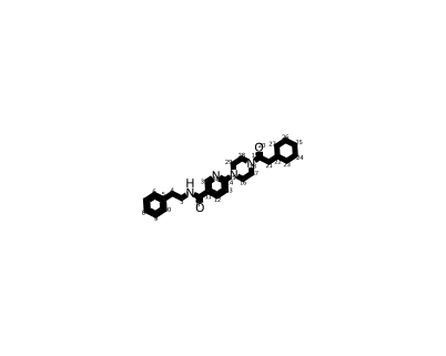 O=C(NCCc1ccccc1)c1ccc(N2CCN(C(=O)CC3CCCCC3)CC2)nc1